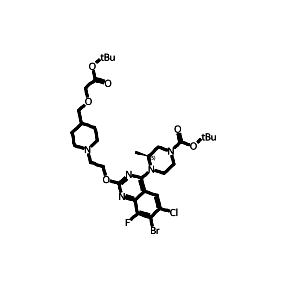 C[C@H]1CN(C(=O)OC(C)(C)C)CCN1c1nc(OCCN2CCC(COCC(=O)OC(C)(C)C)CC2)nc2c(F)c(Br)c(Cl)cc12